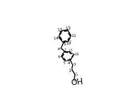 OCCCc1ccc(Cc2[c]cccc2)cc1